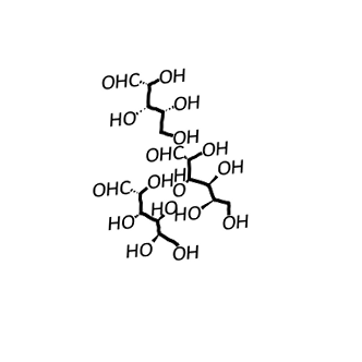 O=C[C@H](O)[C@@H](O)[C@@H](O)[C@H](O)CO.O=C[C@H](O)[C@@H](O)[C@@H](O)[C@H](O)CO.O=C[C@H](O)[C@@H](O)[C@H](O)CO